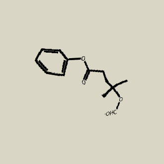 CC(C)(CC(=O)Oc1ccccc1)O[C]=O